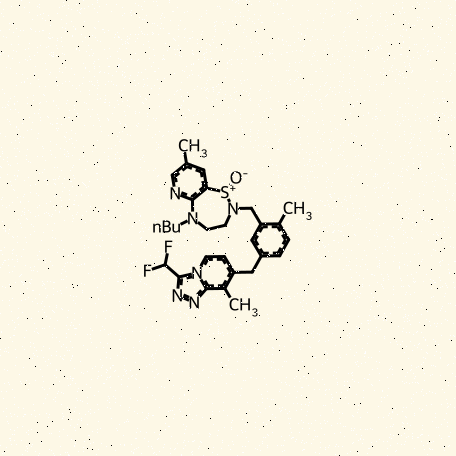 CCCCN1CCN(Cc2cc(Cc3ccn4c(C(F)F)nnc4c3C)ccc2C)[S+]([O-])c2cc(C)cnc21